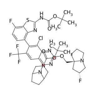 CC(C)(C)OC(=O)Nc1nc2c(-c3c(C(F)(F)F)cc4c(N5C6CCC5CN(C(=O)OC(C)(C)C)C6)nc(OC[C@@]56CCCN5C[C@H](F)C6)nc4c3Cl)ccc(F)c2s1